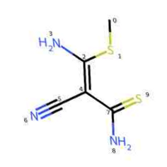 CSC(N)=C(C#N)C(N)=S